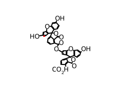 O=C(O)c1cccc2c1C(=O)OC21c2ccc(O)cc2Oc2cc(OC(=O)c3cccc4c3C(=O)OC43c4ccc(O)cc4Oc4cc(O)ccc43)ccc21